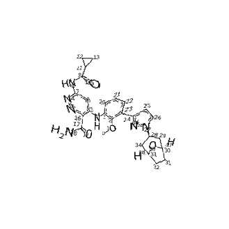 COc1c(Nc2cc(NC(=O)C3CC3)nnc2C(N)=O)cccc1-c1ccn([C@H]2C[C@H]3CC[C@@H](C2)O3)n1